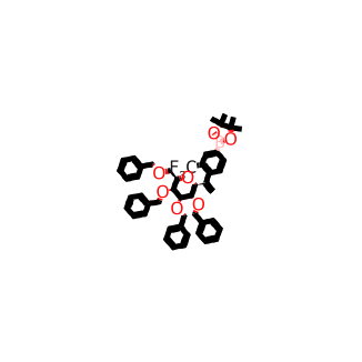 C=C(c1ccc(B2OC(C)(C)C(C)(C)O2)cc1C(F)(F)F)[C@H]1O[C@H](COCc2ccccc2)[C@@H](OCc2ccccc2)[C@H](OCc2ccccc2)[C@@H]1OCc1ccccc1